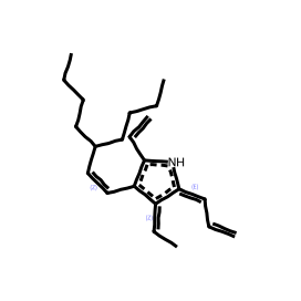 C=C/C=c1/[nH]c(C=C)c(/C=C\C(CCCC)CCCC)/c1=C/C